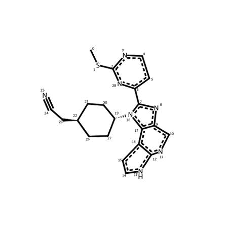 CSc1nccc(-c2nc3cnc4[nH]ccc4c3n2[C@H]2CC[C@H](CC#N)CC2)n1